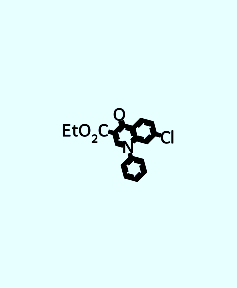 CCOC(=O)c1cn(-c2ccccc2)c2cc(Cl)ccc2c1=O